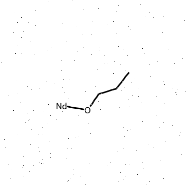 CCC[O][Nd]